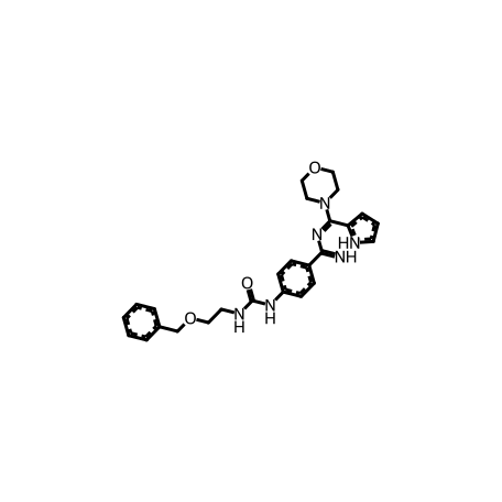 N=C(/N=C(\c1ccc[nH]1)N1CCOCC1)c1ccc(NC(=O)NCCOCc2ccccc2)cc1